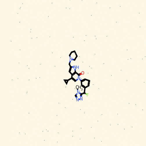 Cn1cnnc1C(F)c1cccc(-n2cc(C3CC3)c3cc(CN4CCCCC4)[nH]c3c2=O)c1